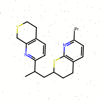 CC(C)c1ccc2c(n1)SC(CC(C)c1ccc3c(n1)CSCC3)CC2